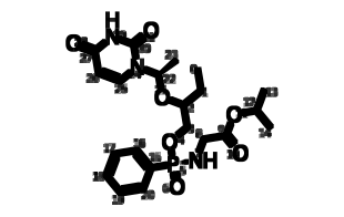 CCC(CO[P@](=O)(NCC(=O)OC(C)C)c1ccccc1)O[C@H](C)n1ccc(=O)[nH]c1=O